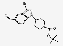 CC(C)(C)OC(=O)N1CCC(n2cc(Br)c3cc(C=O)ccc32)CC1